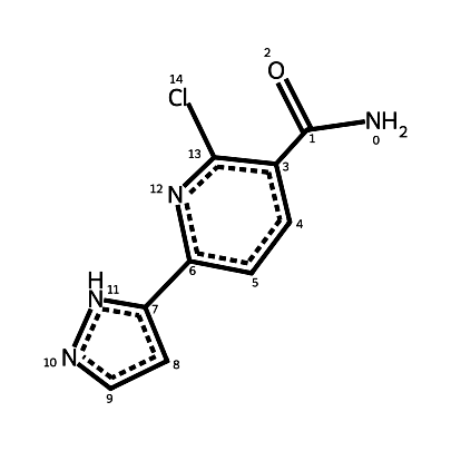 NC(=O)c1ccc(-c2ccn[nH]2)nc1Cl